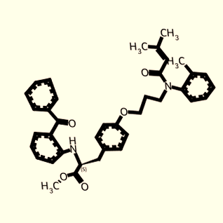 COC(=O)[C@H](Cc1ccc(OCCCN(C(=O)C=C(C)C)c2ccccc2C)cc1)Nc1ccccc1C(=O)c1ccccc1